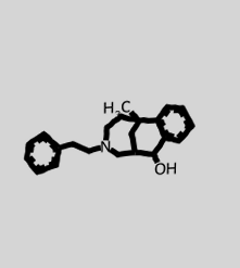 CC12CCN(CCc3ccccc3)CC(C1)C(O)c1ccccc12